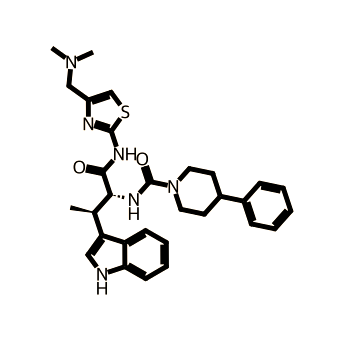 C[C@H](c1c[nH]c2ccccc12)[C@@H](NC(=O)N1CCC(c2ccccc2)CC1)C(=O)Nc1nc(CN(C)C)cs1